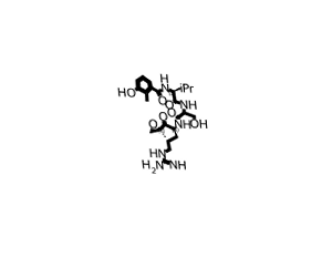 Cc1c(O)cccc1C(=O)N[C@H](C(=O)NC(CO)C(=O)N[C@@H](CCCNC(=N)N)C(=O)[C@@]1(C)CO1)C(C)C